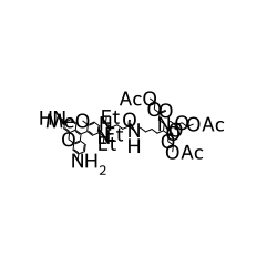 CCN(CC)c1cc(-c2c3ccc(=N)cc-3oc3cc(N)ccc23)c(OC)cc1N(CC)CCCC(=O)NCCCCC(C(=O)OCOC(C)=O)N(CC(=O)OCOC(C)=O)CC(=O)OCOC(C)=O